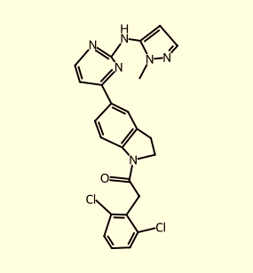 Cn1nccc1Nc1nccc(-c2ccc3c(c2)CCN3C(=O)Cc2c(Cl)cccc2Cl)n1